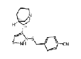 N#Cc1ccc(CSN2NSC=C2[C@H]2CN3CCC[C@H]2C3)cc1